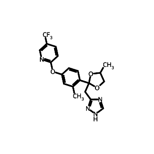 Cc1cc(Oc2ccc(C(F)(F)F)cn2)ccc1C1(Cc2nc[nH]n2)OCC(C)O1